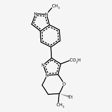 CC[C@]1(C)CCn2nc(-c3ccc4c(cnn4C)c3)c(C(=O)O)c2O1